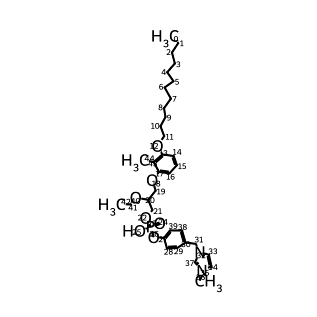 CCCCCCCCCCCCOc1cccc(OCC(COP(=O)(O)Oc2ccc(Cn3cc[n+](C)c3)cc2)OCC)c1C